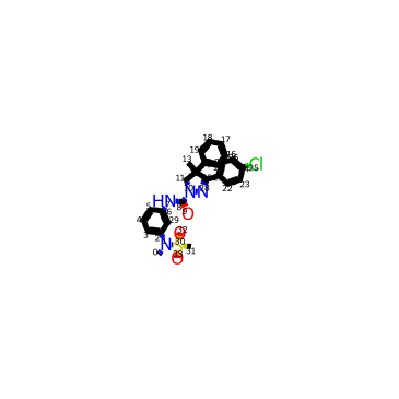 CN(c1cccc(NC(=O)N2CC(C)(c3ccccc3)C(c3ccc(Cl)cc3)=N2)c1)S(C)(=O)=O